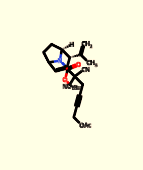 C=C(C)[C@@H]1C(C(C#N)(C#N)CC#CCOC(C)=O)=CC2CC[C@@H]1N2C(=O)OC(C)(C)C